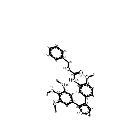 COc1ccc(-c2cnoc2-c2cc(OC)c(OC)c(OC)c2)cc1NC(=O)OCc1cc[c]cc1